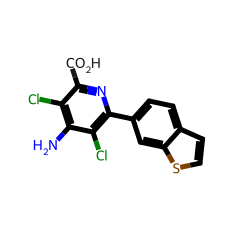 Nc1c(Cl)c(C(=O)O)nc(-c2ccc3ccsc3c2)c1Cl